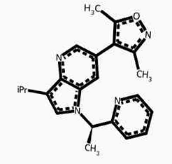 Cc1noc(C)c1-c1cnc2c(C(C)C)cn([C@H](C)c3ccccn3)c2c1